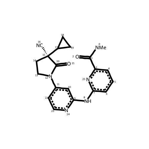 CNC(=O)c1cccc(Nc2cc(N3CC[C@@](C#N)(C4CC4)C3=O)ccn2)n1